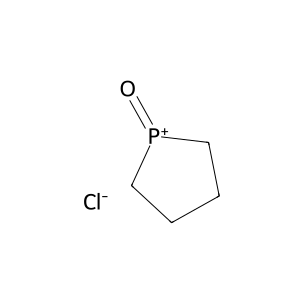 O=[P+]1CCCC1.[Cl-]